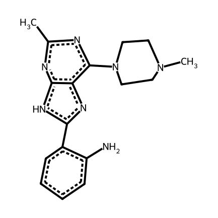 Cc1nc(N2CCN(C)CC2)c2nc(-c3ccccc3N)[nH]c2n1